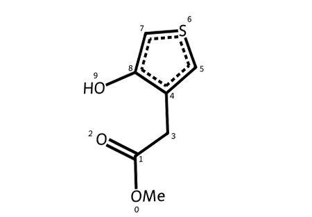 COC(=O)Cc1cscc1O